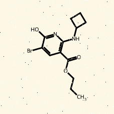 CCCOC(=O)c1cc(Br)c(O)nc1NC1CCC1